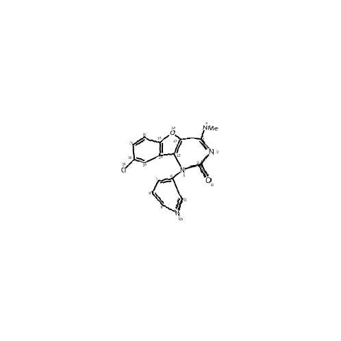 CNc1nc(=O)n(-c2cccnc2)c2c1oc1ccc(Cl)cc12